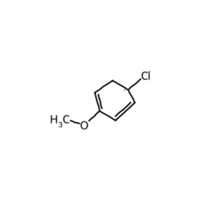 COC1=CC[C](Cl)C=C1